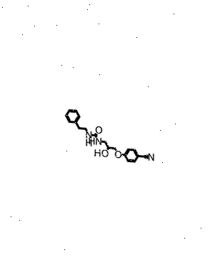 N#Cc1ccc(OCC(O)CNC(=O)NCCc2ccccc2)cc1